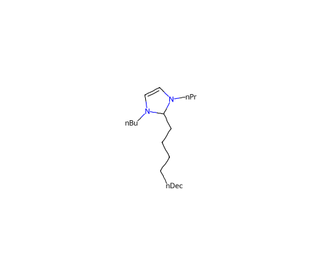 CCCCCCCCCCCCCCC1N(CCC)C=CN1CCCC